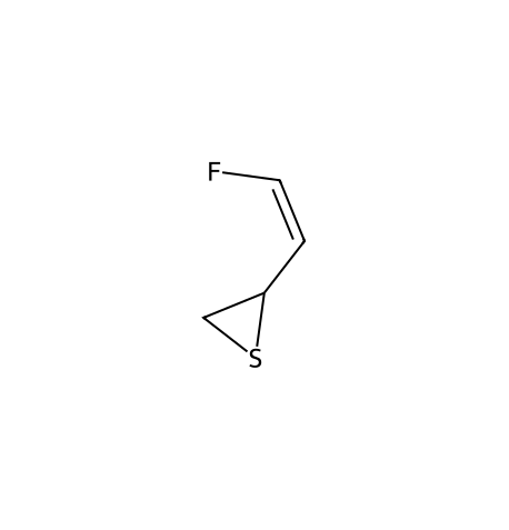 F/C=C\C1CS1